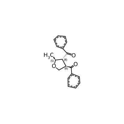 C[C@@H]1OC[C@H](C(=O)c2ccccc2)[C@H]1C(=O)c1ccccc1